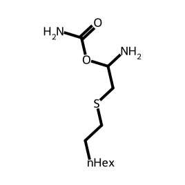 CCCCCCCCSCC(N)OC(N)=O